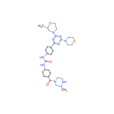 CC1CN(C(=O)c2ccc(NC(=O)Nc3ccc(-c4nc(N5CCOCC5)nc(N5CCOC(C)C5)n4)cc3)cc2)CCN1